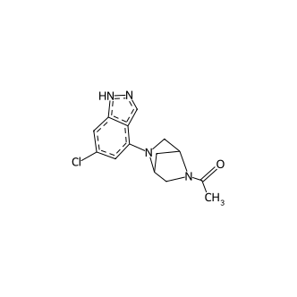 CC(=O)N1CC2CC1CN2c1cc(Cl)cc2[nH]ncc12